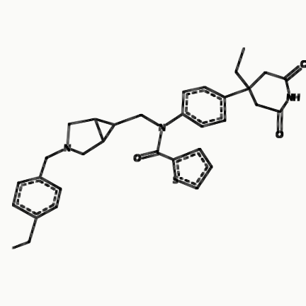 CCc1ccc(CN2CC3C(C2)C3CN(C(=O)c2cccs2)c2ccc(C3(CC)CC(=O)NC(=O)C3)cc2)cc1